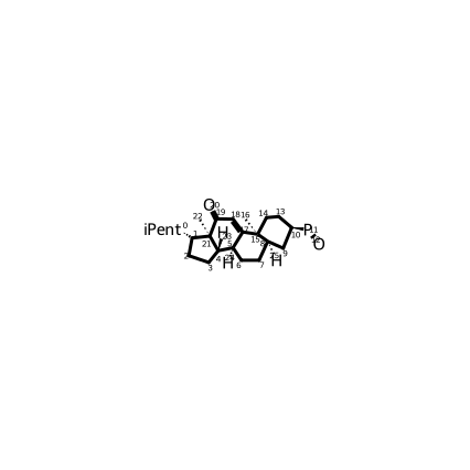 CCC[C@@H](C)C1CC[C@H]2[C@@H]3CC[C@@H]4C[C@H](P=O)CC[C@]4(C)C3=CC(=O)[C@]12C